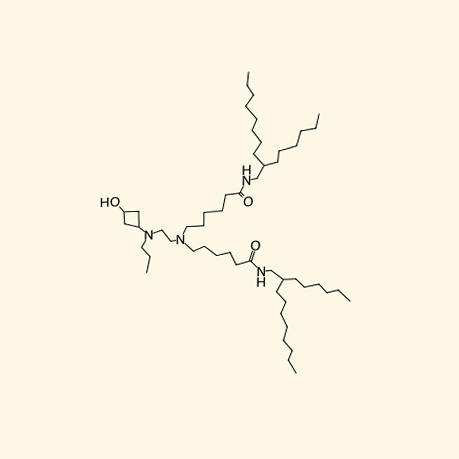 CCCCCCCCC(CCCCCC)CNC(=O)CCCCCN(CCCCCC(=O)NCC(CCCCCC)CCCCCCCC)CCN(CCC)C1CC(O)C1